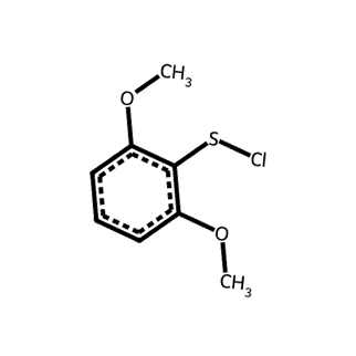 COc1cccc(OC)c1SCl